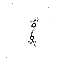 CC(=O)Nc1ccc(SCCSc2ccc(NC(C)=O)cc2)cc1